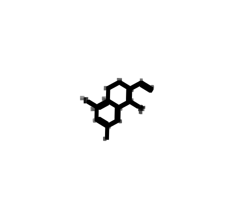 C=CC1=C(Br)c2cc(C)cc(F)c2CC1